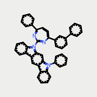 C1=CC(c2ccccc2)=NC(n2c3ccccc3c3cc4c5ccccc5n(-c5ccccc5)c4cc32)=NC=1c1cccc(-c2ccccc2)c1